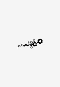 CC(C)OCCCNC(=O)[C@@]1(O)CCN(c2ccccc2)C1=O